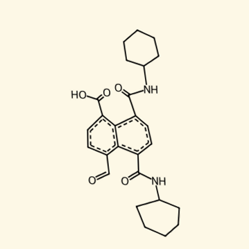 O=Cc1ccc(C(=O)O)c2c(C(=O)NC3CCCCC3)ccc(C(=O)NC3CCCCC3)c12